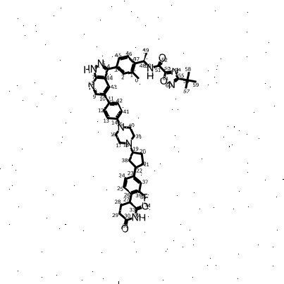 Cc1cc(-c2n[nH]c3ncc(-c4ccc(N5CCN(C6CCC(c7ccc(C8CCC(=O)NC8=O)c(F)c7)C6)CC5)cc4)cc23)ccc1[C@@H](C)NC(=O)c1nc(C(C)(C)C)no1